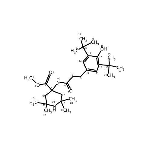 COC(=O)C1(NC(=O)CCc2cc(C(C)(C)C)c(O)c(C(C)(C)C)c2)CC(C)(C)NC(C)(C)C1